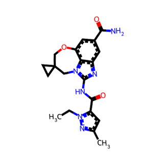 CCn1nc(C)cc1C(=O)Nc1nc2cc(C(N)=O)cc3c2n1CC1(CC1)CO3